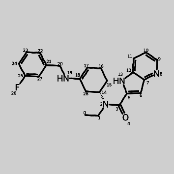 CCN(C(=O)c1cc2ncccc2[nH]1)[C@H]1CCC=C(NCc2cccc(F)c2)C1